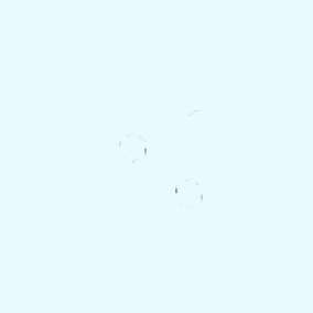 C=CCOCC(Cc1ccccc1)c1ccc(S)cc1